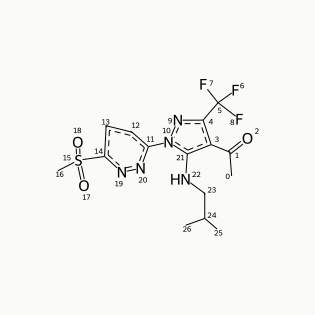 CC(=O)c1c(C(F)(F)F)nn(-c2ccc(S(C)(=O)=O)nn2)c1NCC(C)C